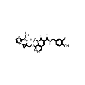 CN(SC1(COc2nncc3cc(C(=O)NCc4ccc(C#N)c(F)c4)c(=O)n(C)c23)CC1)c1nccs1